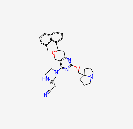 Cc1cccc2cccc(C3Cc4nc(OCC56CCCN5CCC6)nc(N5CCN[C@@H](CC#N)C5)c4CO3)c12